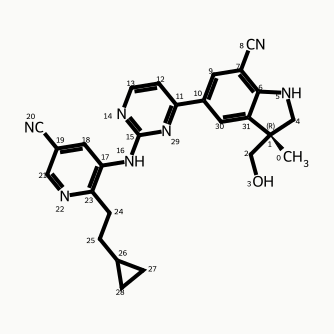 C[C@]1(CO)CNc2c(C#N)cc(-c3ccnc(Nc4cc(C#N)cnc4CCC4CC4)n3)cc21